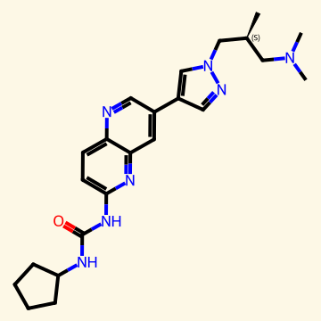 C[C@@H](CN(C)C)Cn1cc(-c2cnc3ccc(NC(=O)NC4CCCC4)nc3c2)cn1